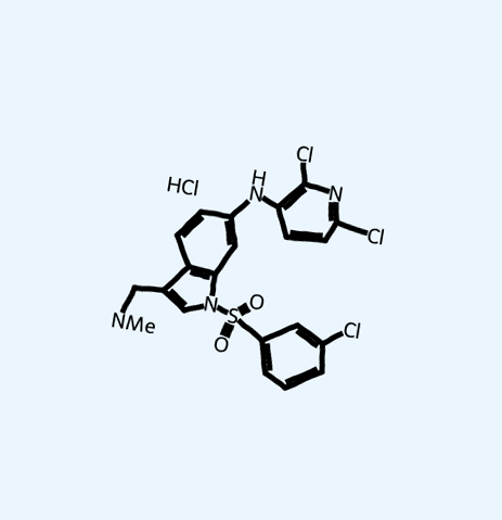 CNCc1cn(S(=O)(=O)c2cccc(Cl)c2)c2cc(Nc3ccc(Cl)nc3Cl)ccc12.Cl